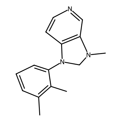 Cc1cccc(N2CN(C)c3cnccc32)c1C